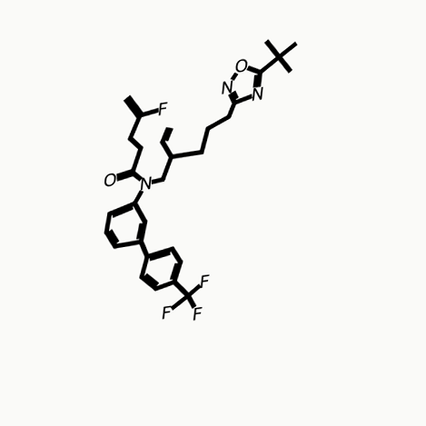 C=CC(CCCc1noc(C(C)(C)C)n1)CN(C(=O)CCC(=C)F)c1cccc(-c2ccc(C(F)(F)F)cc2)c1